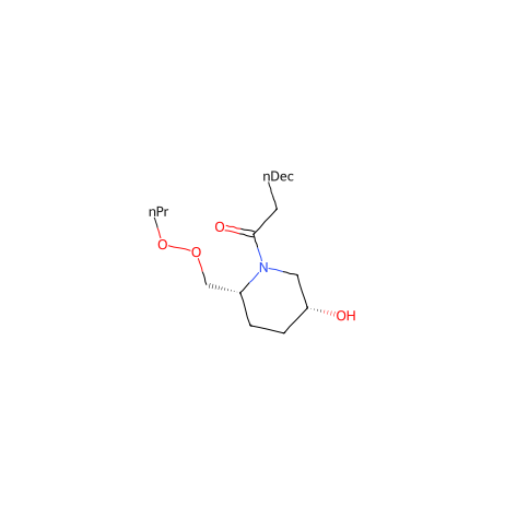 CCCCCCCCCCCC(=O)N1C[C@H](O)CC[C@@H]1COOCCC